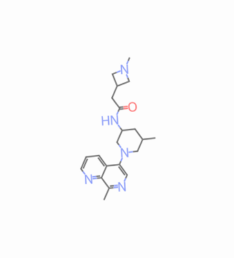 Cc1ncc(N2CC(C)CC(NC(=O)CC3CN(C)C3)C2)c2cccnc12